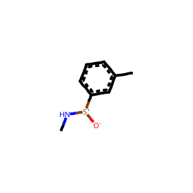 CN[S+]([O-])c1cccc(C)c1